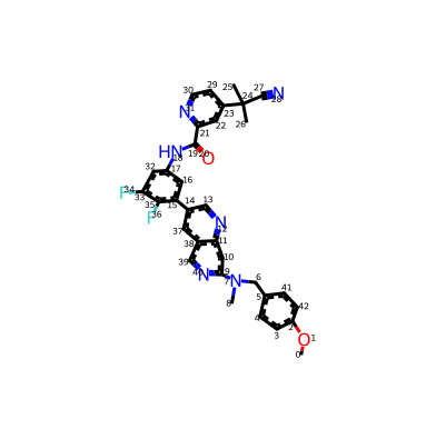 COc1ccc(CN(C)c2cc3ncc(-c4cc(NC(=O)c5cc(C(C)(C)C#N)ccn5)cc(F)c4F)cc3cn2)cc1